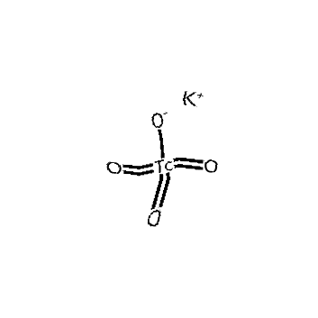 [K+].[O]=[Tc](=[O])(=[O])[O-]